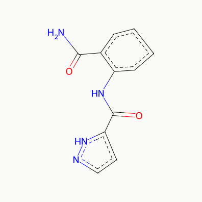 NC(=O)c1ccccc1NC(=O)c1ccn[nH]1